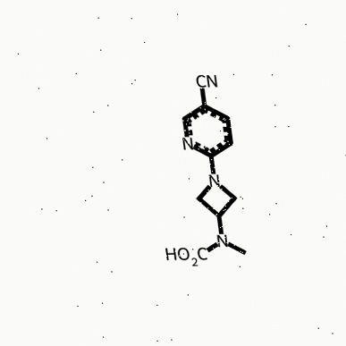 CN(C(=O)O)C1CN(c2ccc(C#N)cn2)C1